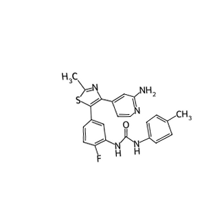 Cc1ccc(NC(=O)Nc2cc(-c3sc(C)nc3-c3ccnc(N)c3)ccc2F)cc1